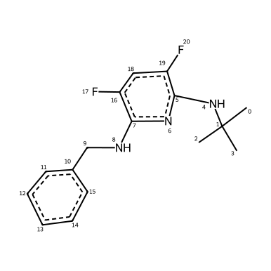 CC(C)(C)Nc1nc(NCc2ccccc2)c(F)cc1F